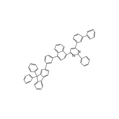 c1ccc(-c2cccc(-c3cc(-c4ccc(-c5cccc(-c6ccc7c(c6)C(c6ccccc6)(c6ccccc6)c6ccccc6-7)c5)c5ccccc45)nc(-c4ccccc4)n3)c2)cc1